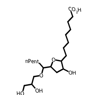 CCCCCC(OCC(O)CO)C1CC(O)C(CCCCCCCC(=O)O)O1